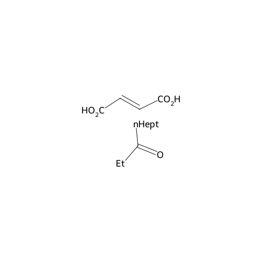 CCCCCCCC(=O)CC.O=C(O)C=CC(=O)O